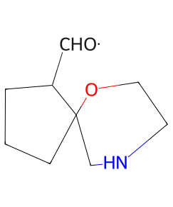 O=[C]C1CCCC12CNCCO2